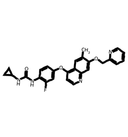 Cc1cc2c(Oc3ccc(NC(=O)NC4CC4)c(F)c3)ccnc2cc1OCc1ccccn1